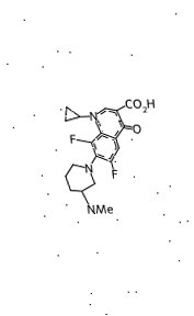 CNC1CCCN(c2c(F)cc3c(=O)c(C(=O)O)cn(C4CC4)c3c2F)C1